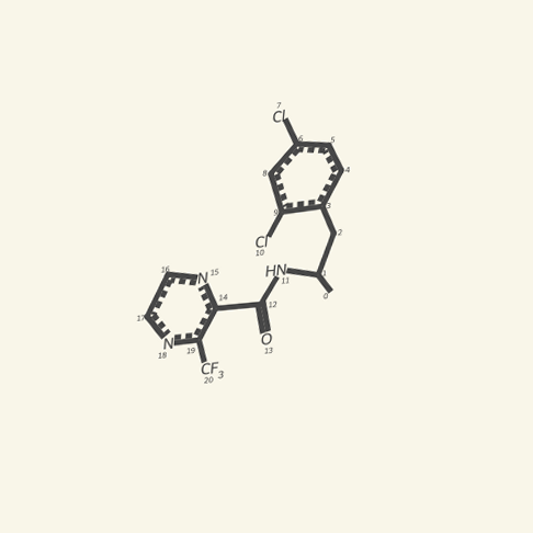 CC(Cc1ccc(Cl)cc1Cl)NC(=O)c1nccnc1C(F)(F)F